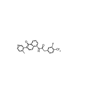 Cc1ccncc1-n1ccc2c(NC(=O)Cc3ccc(C(F)(F)F)c(F)c3)cccc2c1=O